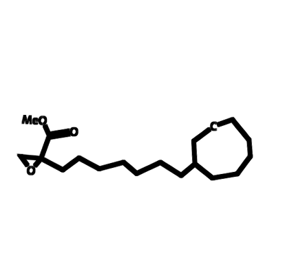 COC(=O)C1(CCCCCCCC2CCCCCCC2)CO1